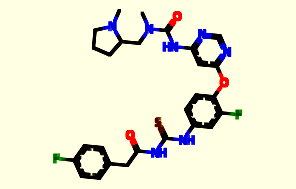 CN(CC1CCCN1C)C(=O)Nc1cc(Oc2ccc(NC(=S)NC(=O)Cc3ccc(F)cc3)cc2F)ncn1